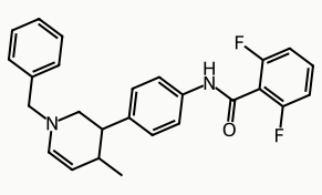 CC1C=CN(Cc2ccccc2)CC1c1ccc(NC(=O)c2c(F)cccc2F)cc1